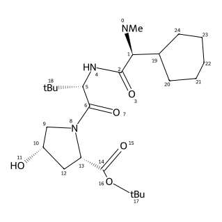 CN[C@H](C(=O)N[C@H](C(=O)N1C[C@@H](O)C[C@H]1C(=O)OC(C)(C)C)C(C)(C)C)C1CCCCC1